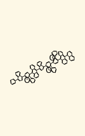 c1ccc(-c2ccc(-c3ccc(-c4c5ccccc5c(-c5ccc(-c6ccc(-c7ccc(-c8c9ccccc9c(-c9cccc%10ccccc9%10)c9ccccc89)c8c7oc7ccccc78)c7c6oc6ccccc67)c6ccccc56)c5ccccc45)c4c3oc3ccccc34)c3ccccc23)cc1